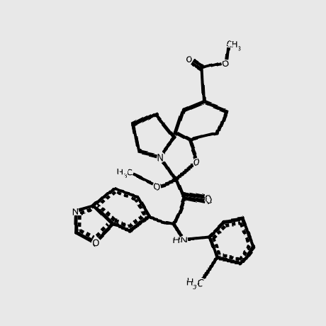 COC(=O)C1CCC(OC(OC)(C(=O)C(Nc2ccccc2C)c2ccc3ncoc3c2)N2CCCC2)CC1